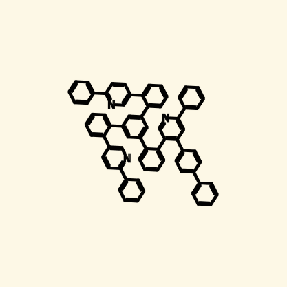 c1ccc(-c2ccc(-c3cc(-c4ccccc4)ncc3-c3ccccc3-c3cc(-c4ccccc4-c4ccc(-c5ccccc5)nc4)cc(-c4ccccc4-c4ccc(-c5ccccc5)nc4)c3)cc2)cc1